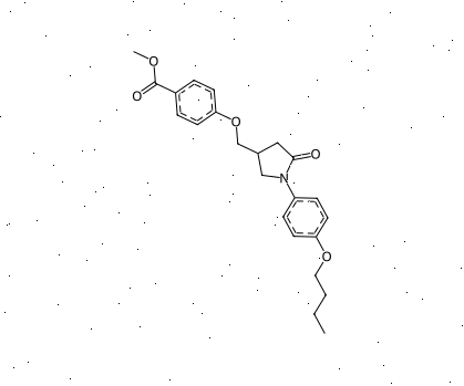 CCCCOc1ccc(N2CC(COc3ccc(C(=O)OC)cc3)CC2=O)cc1